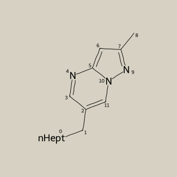 CCCCCCCCc1cnc2cc(C)nn2c1